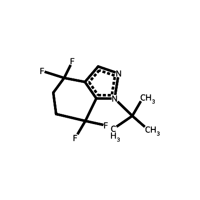 CC(C)(C)n1ncc2c1C(F)(F)CCC2(F)F